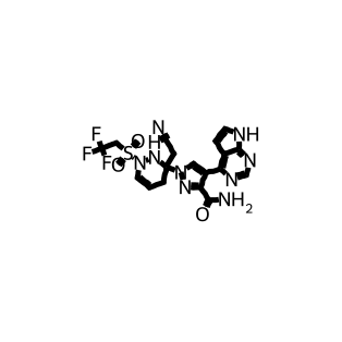 N#CCC1(n2cc(-c3ncnc4[nH]ccc34)c(C(N)=O)n2)CC=CN(S(=O)(=O)CC(F)(F)F)N1